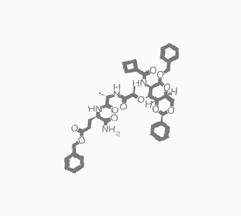 C[C@H](NC(=O)[C@@H](C)O[C@H]1[C@@H]2O[C@H](c3ccccc3)OC[C@H]2OC(OCc2ccccc2)[C@@H]1NC(=O)C1CCC1)C(=O)N[C@H](CCC(=O)OCc1ccccc1)C(N)=O